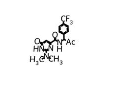 CC(=O)C(NC(=O)c1cc(=O)[nH]c(N(C)C)n1)c1ccc(C(F)(F)F)cc1